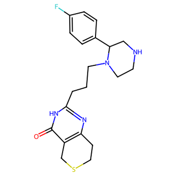 O=c1[nH]c(CCCN2CCNCC2c2ccc(F)cc2)nc2c1CSCC2